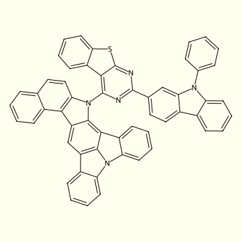 c1ccc(-n2c3ccccc3c3ccc(-c4nc(-n5c6ccc7ccccc7c6c6cc7c8ccccc8n8c9ccccc9c(c65)c78)c5c(n4)sc4ccccc45)cc32)cc1